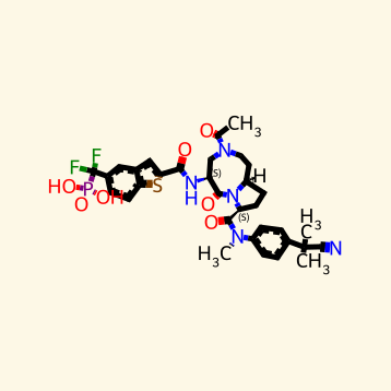 CC(=O)N1CC[C@H]2CC[C@@H](C(=O)N(C)c3ccc(C(C)(C)C#N)cc3)N2C(=O)[C@@H](NC(=O)c2cc3cc(C(F)(F)P(=O)(O)O)ccc3s2)C1